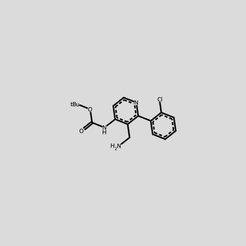 CC(C)(C)OC(=O)Nc1ccnc(-c2ccccc2Cl)c1CN